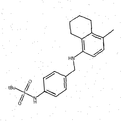 Cc1ccc(NCc2ccc(NS(=O)(=O)C(C)(C)C)cc2)c2c1CCCC2